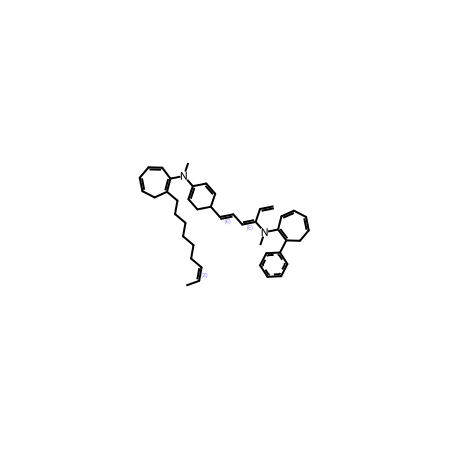 C=C/C(=C\C=C\C1C=CC(N(C)C2=C(CCCCCC/C=C\C)CC=CC=C2)=CC1)N(C)C1=C(c2ccccc2)CC=CC=C1